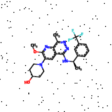 COc1nc2c(C)nnc(N[C@H](C)c3cccc(C(F)(F)F)c3)c2cc1N1CCC(O)CC1